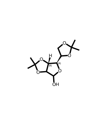 CC1(C)OCC([C@H]2OC(O)C3OC(C)(C)O[C@@H]32)O1